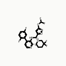 O=C(Nc1c(-c2cc(F)ccc2F)ccnc1[C@H]1CCC(F)(F)CO1)c1cc(OC(F)F)no1